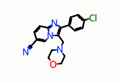 N#Cc1ccc2nc(-c3ccc(Cl)cc3)c(CN3CCOCC3)n2c1